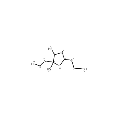 SCSC1SC(S)C(S)(SCS)S1